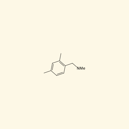 CNCc1ccc(C)cc1C